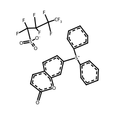 O=S(=O)([O-])C(F)(F)C(F)(F)C(F)(F)C(F)(F)F.O=c1ccc2ccc([S+](c3ccccc3)c3ccccc3)cc2o1